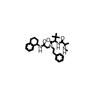 CNC(C)C(=O)NC(C(=O)N(CCc1ccccc1)CC(=O)NC1CCCc2ccccc21)C(C)(C)C